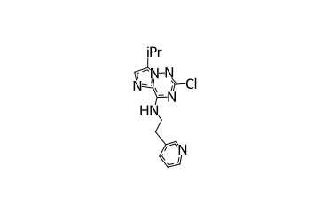 CC(C)c1cnc2c(NCCc3cccnc3)nc(Cl)nn12